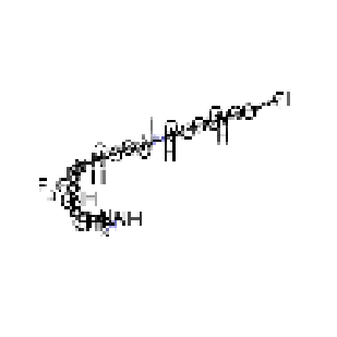 Cc1ccc(C(=O)Nc2ccc(CN3CCN(CCCNC(=O)CCOCCOCCC(=O)NC/C=C/CNC(=O)CCOCCOCCOC(=O)NCCOCCOCCCCCCCl)CC3)c(C(F)(F)F)c2)cc1C#Cc1cnc(/C=C\C=N)[nH]1